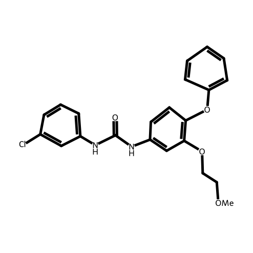 COCCOc1cc(NC(=O)Nc2cccc(Cl)c2)ccc1Oc1ccccc1